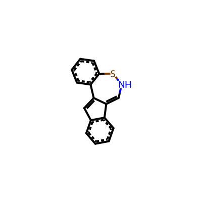 C1=C2C(=Cc3ccccc32)c2ccccc2SN1